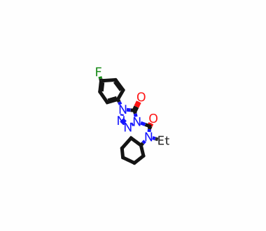 CCN(C(=O)n1nnn(-c2ccc(F)cc2)c1=O)C1CCCCC1